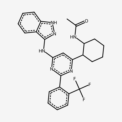 CC(=O)NC1CCCCC1c1cc(Nc2n[nH]c3ccccc23)nc(-c2ccccc2C(F)(F)F)n1